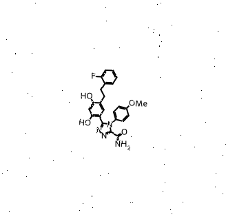 COc1ccc(-n2c(C(N)=O)nnc2-c2cc(CCc3ccccc3F)c(O)cc2O)cc1